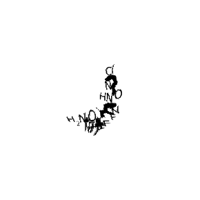 C[C@@H](C[C@@H](OC(=N)N)C(F)(F)F)c1cc(NC(=O)c2ccc(Cl)cn2)cnc1F